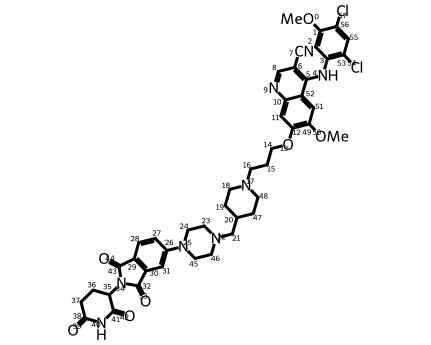 COc1cc(Nc2c(C#N)cnc3cc(OCCCN4CCC(CN5CCN(c6ccc7c(c6)C(=O)N(C6CCC(=O)NC6=O)C7=O)CC5)CC4)c(OC)cc23)c(Cl)cc1Cl